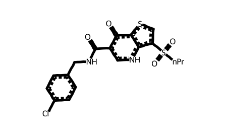 CCCS(=O)(=O)c1csc2c(=O)c(C(=O)NCc3ccc(Cl)cc3)c[nH]c12